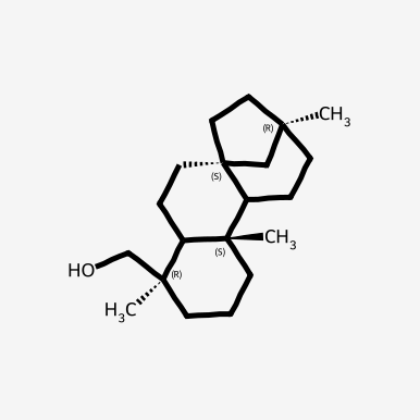 C[C@@]12CCC3[C@@](CCC4[C@](C)(CO)CCC[C@]43C)(CC1)C2